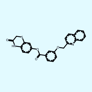 O=C1CSc2cc(OC(=O)c3cccc(OCc4ccc5ccccc5n4)c3)ccc2N1